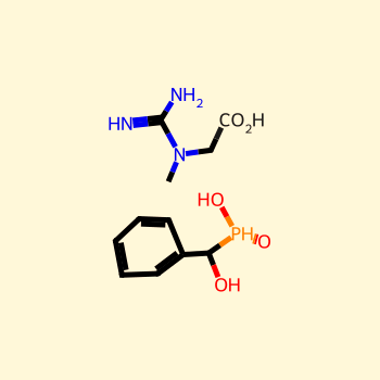 CN(CC(=O)O)C(=N)N.O=[PH](O)C(O)c1ccccc1